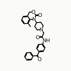 Cc1cccc2c1N(C1CCN(CC(=O)Nc3ccc(C(=O)c4ccccc4)cc3)CC1)C(=O)OC2